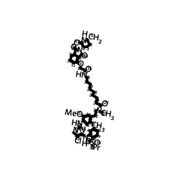 C=C1CCC(N2C(=O)c3cccc(OCC(=O)NCCCCCCCCC(=O)N(C)CCc4cc(OC)c(Nc5ncc(Cl)c(Nc6ccccc6S(=O)(=O)C(C)C)n5)cc4C)c3C2=O)C(=O)N1